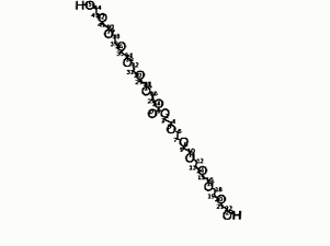 O=C(OCCOCCOCCOCCOCCOCCOCCO)OCCOCCOCCOCCOCCOCCOCCO